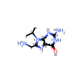 CC(C)n1c(CN)nc2c(=O)[nH]c(N)nc21